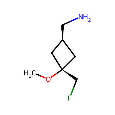 CO[C@]1(CF)C[C@@H](CN)C1